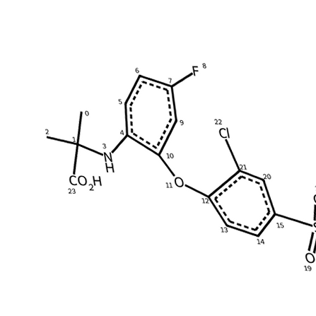 CC(C)(Nc1ccc(F)cc1Oc1ccc(S(C)(=O)=O)cc1Cl)C(=O)O